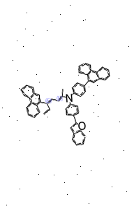 C=C/C(=C\C=C(/C)N(c1ccc(-c2cc3ccccc3o2)cc1)c1ccc(-c2cc3ccccc3c3ccccc23)cc1)c1cc2ccccc2c2ccccc12